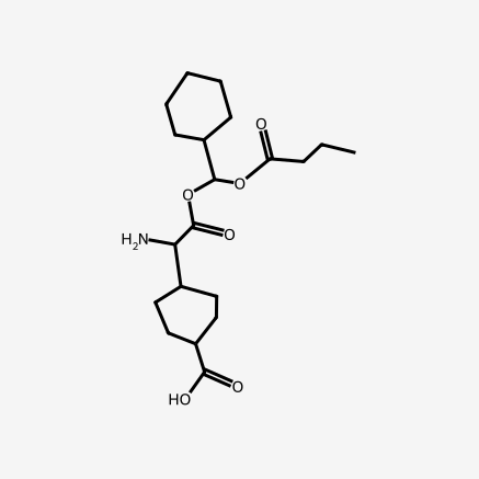 CCCC(=O)OC(OC(=O)C(N)C1CCC(C(=O)O)CC1)C1CCCCC1